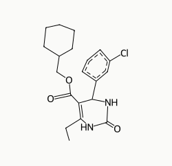 CCC1=C(C(=O)OCC2CCCCC2)C(c2cccc(Cl)c2)NC(=O)N1